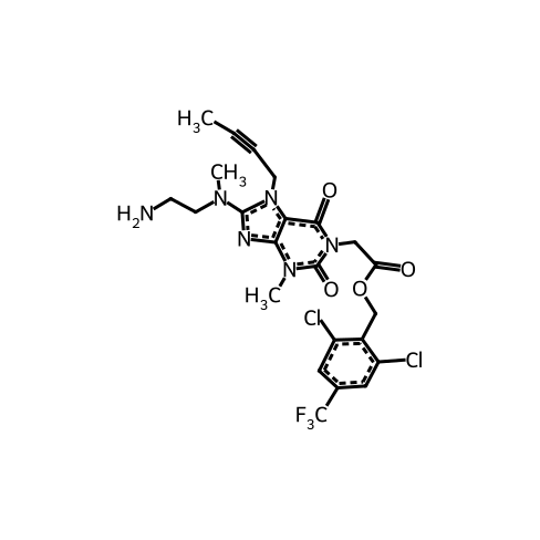 CC#CCn1c(N(C)CCN)nc2c1c(=O)n(CC(=O)OCc1c(Cl)cc(C(F)(F)F)cc1Cl)c(=O)n2C